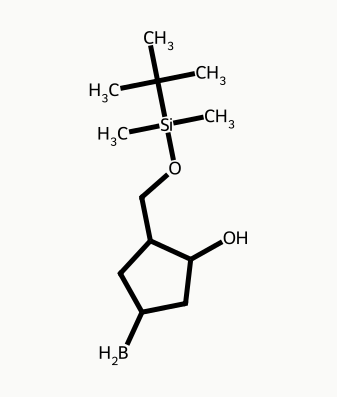 BC1CC(O)C(CO[Si](C)(C)C(C)(C)C)C1